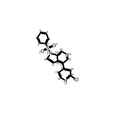 O=S(=O)(c1ccccc1)n1ccc2c(-c3ccnc(Cl)c3)cncc21